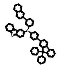 c1ccc(C2(c3ccccc3)c3ccccc3-c3ccc(-c4ccc(N(c5cccc(-c6ccc7ccccc7c6)c5)c5ccc6oc7ccccc7c6c5)cc4)cc32)cc1